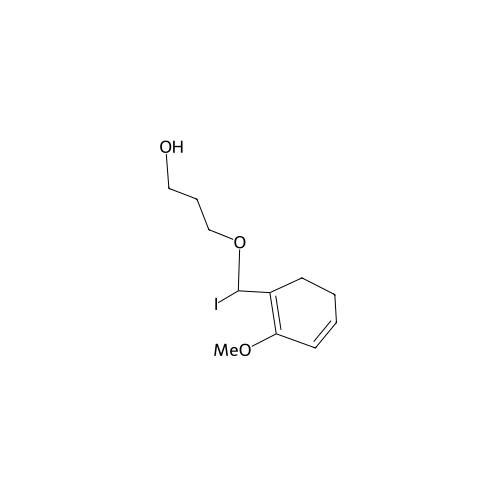 COC1=C(C(I)OCCCO)CCC=C1